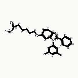 Cc1cc(C)cc(-n2c(-c3ccccc3)nc3ccc(OCCCCCC(=O)OC(C)C)cc32)c1